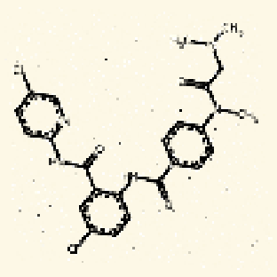 CN(C)CC(=O)N(C)c1ccc(C(=O)Nc2ccc(Cl)cc2C(=O)Nc2ccc(Cl)cn2)cc1